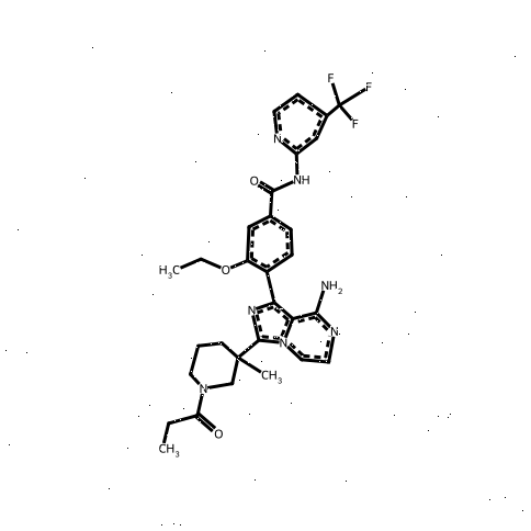 CCOc1cc(C(=O)Nc2cc(C(F)(F)F)ccn2)ccc1-c1nc(C2(C)CCCN(C(=O)CC)C2)n2ccnc(N)c12